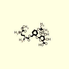 COC(=O)N(C)CCN(C)C(=O)OCc1ccc(OC(C)(C)C)cc1OC1O[C@H](C(=O)O)[C@@H](O)[C@H](O)[C@H]1O